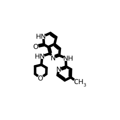 Cc1ccnc(Nc2cc3cc[nH]c(=O)c3c(NC3CCOCC3)n2)c1